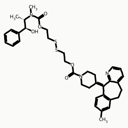 Cc1ccc2c(c1)CCc1cccnc1C2=C1CCN(C(=O)OCCSSCCOC(=O)N(C)[C@@H](C)[C@@H](O)c2ccccc2)CC1